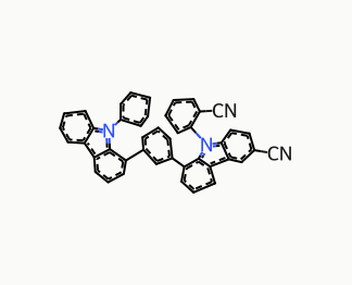 N#Cc1ccc2c(c1)c1cccc(-c3cccc(-c4cccc5c6ccccc6n(-c6ccccc6)c45)c3)c1n2-c1ccccc1C#N